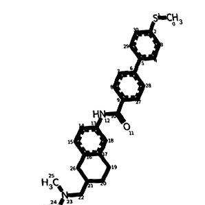 CSc1ccc(-c2ccc(C(=O)Nc3ccc4c(c3)CCC(CN(C)C)C4)cc2)cc1